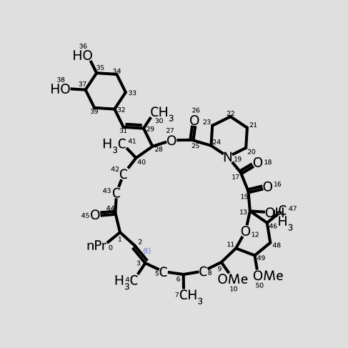 CCCC1/C=C(\C)CC(C)CC(OC)C2OC(O)(C(=O)C(=O)N3CCCCC3C(=O)OC(C(C)=CC3CCC(O)C(O)C3)C(C)CCC1=O)C(C)CC2OC